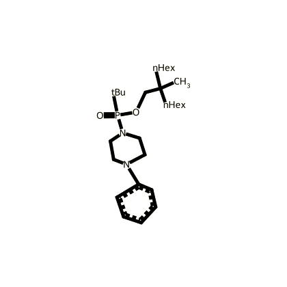 CCCCCCC(C)(CCCCCC)COP(=O)(N1CCN(c2ccccc2)CC1)C(C)(C)C